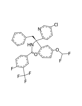 O=C(N[C@@](Cc1ccccc1)(c1cccc(OC(F)F)c1)c1ccc(Cl)cn1)c1ccc(F)c(C(F)(F)F)c1